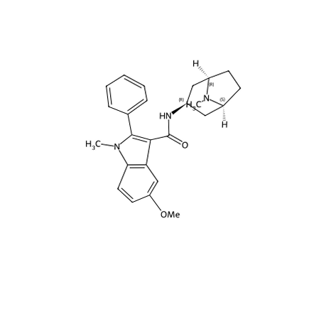 COc1ccc2c(c1)c(C(=O)N[C@H]1C[C@H]3CC[C@@H](C1)N3C)c(-c1ccccc1)n2C